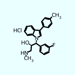 CNC[C@@H](O)[C@H](c1cccc(F)c1)n1cc(-c2ccc(C)cc2)c2ccccc21.Cl